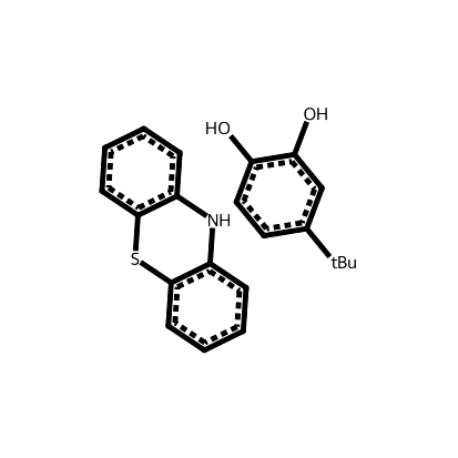 CC(C)(C)c1ccc(O)c(O)c1.c1ccc2c(c1)Nc1ccccc1S2